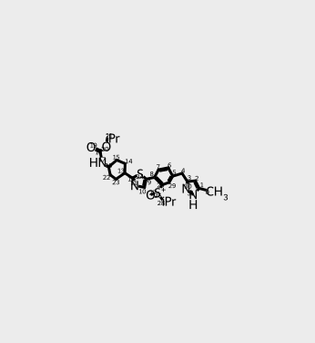 Cc1cc(Cc2ccc(-c3cnc(C4CCC(NC(=O)OC(C)C)CC4)s3)c([S+]([O-])C(C)C)c2)n[nH]1